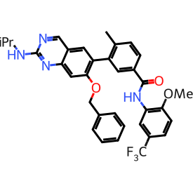 COc1ccc(C(F)(F)F)cc1NC(=O)c1ccc(C)c(-c2cc3cnc(NC(C)C)nc3cc2OCc2ccccc2)c1